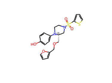 O=S(=O)(c1cccs1)N1CCN(c2ccc(O)cc2)[C@@H](COCc2ccco2)C1